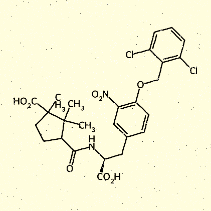 CC1(C(=O)O)CCC(C(=O)N[C@@H](Cc2ccc(OCc3c(Cl)cccc3Cl)c([N+](=O)[O-])c2)C(=O)O)C1(C)C